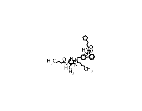 CCCCC(=O)Nc1cnc2c(nc(CCCC)n2Cc2ccc(-c3ccccc3S(=O)(=O)NC(=O)CCC3CCCC3)cc2)c1C